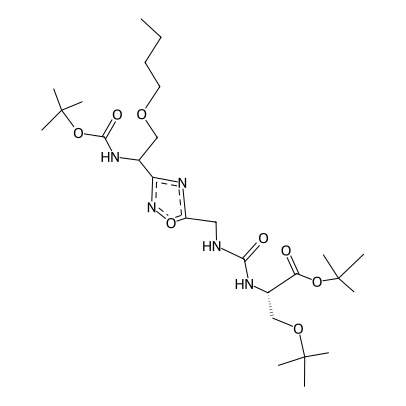 CCCCOCC(NC(=O)OC(C)(C)C)c1noc(CNC(=O)N[C@@H](COC(C)(C)C)C(=O)OC(C)(C)C)n1